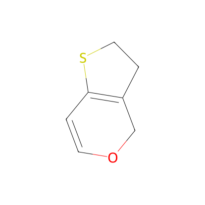 C1=CC2=C(CCS2)CO1